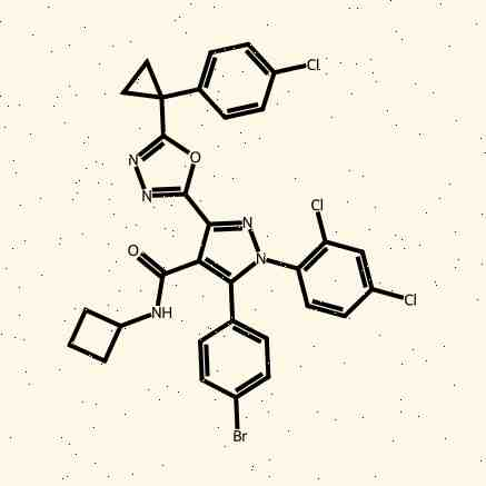 O=C(NC1CCC1)c1c(-c2nnc(C3(c4ccc(Cl)cc4)CC3)o2)nn(-c2ccc(Cl)cc2Cl)c1-c1ccc(Br)cc1